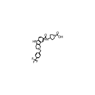 O=C(NC1CCN(C(=O)O)CC1)c1ccc2[nH]c3c(c2c1)CN(Cc1ccc(C(F)(F)F)cc1)CC3